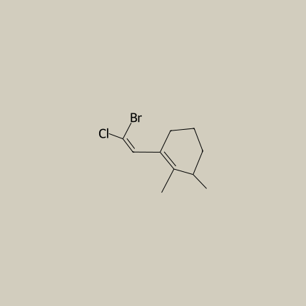 CC1=C(/C=C(/Cl)Br)CCCC1C